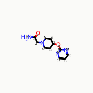 NC(=O)CN1CCC(Oc2ncccn2)CC1